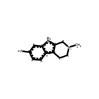 CN1CCc2c([nH]c3cc(F)ccc23)C1